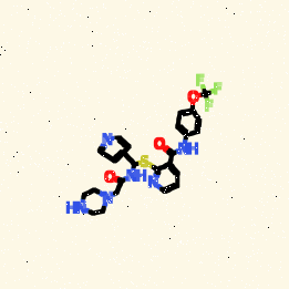 O=C(CN1CCNCC1)NC(Sc1ncccc1C(=O)Nc1ccc(OC(F)(F)F)cc1)c1ccncc1